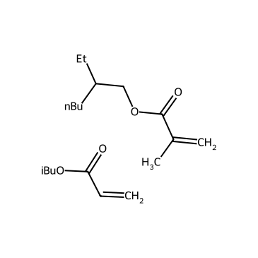 C=C(C)C(=O)OCC(CC)CCCC.C=CC(=O)OCC(C)C